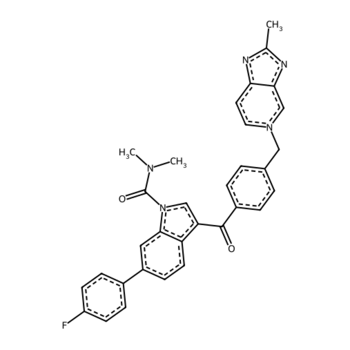 Cc1nc2ccn(Cc3ccc(C(=O)c4cn(C(=O)N(C)C)c5cc(-c6ccc(F)cc6)ccc45)cc3)cc-2n1